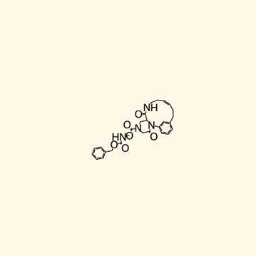 O=C(NOC(=O)N1CC(=O)N2c3cccc(c3)CC/C=C\CCNC(=O)C2C1)OCc1ccccc1